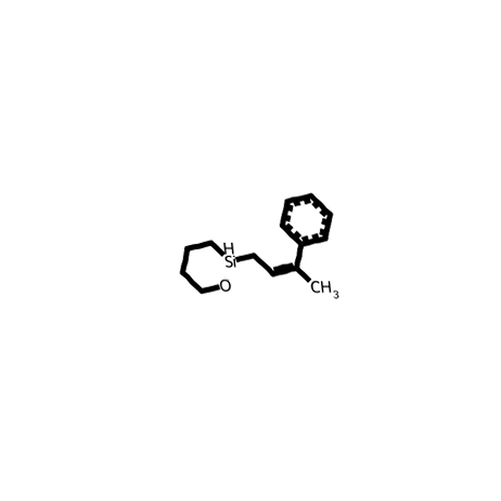 CC(=CC[SiH]1CCCCO1)c1ccccc1